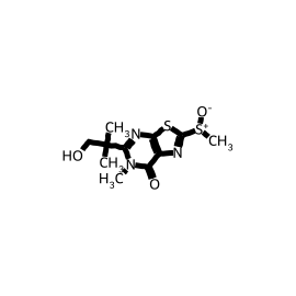 Cn1c(C(C)(C)CO)nc2sc([S+](C)[O-])nc2c1=O